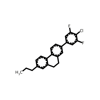 CCCc1ccc2c(c1)CCc1cc(-c3cc(F)c(Cl)c(F)c3)ccc1-2